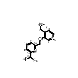 NCc1ccncc1OCc1cccc(C(F)F)n1